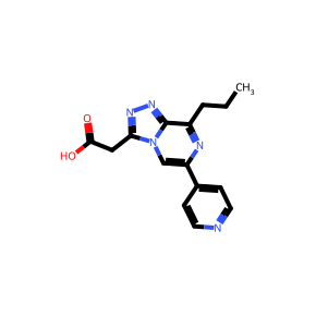 CCCc1nc(-c2ccncc2)cn2c(CC(=O)O)nnc12